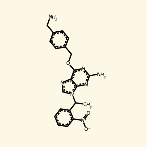 CC(c1ccccc1[N+](=O)[O-])n1cnc2c(OCc3ccc(CN)cc3)nc(N)nc21